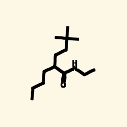 CCCCC(CCC(C)(C)C)C(=O)NCC